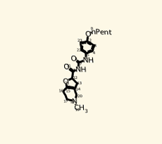 CCCCCOc1ccc(NC(=O)NC(=O)C2CC3=C(CCN(C)C3)O2)cc1